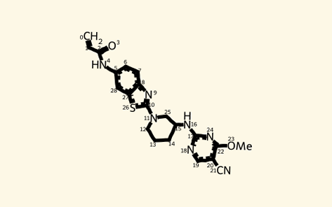 C=CC(=O)Nc1ccc2nc(N3CCCC(Nc4ncc(C#N)c(OC)n4)C3)sc2c1